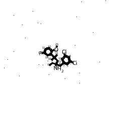 CCC(N)(Cc1cc(Cl)cc(Cl)c1)CC(C)(C)c1cc(F)ccc1OC